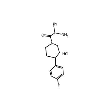 CC(C)C(N)C(=O)N1CCC(c2ccc(F)cc2)CC1.Cl